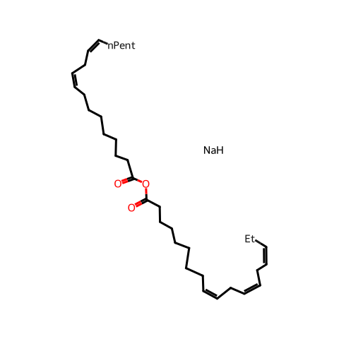 CC/C=C\C/C=C\C/C=C\CCCCCCCC(=O)OC(=O)CCCCCCC/C=C\C/C=C\CCCCC.[NaH]